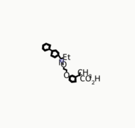 CC/C(=N\OCCOc1cccc(C(C)C(=O)O)c1)c1ccc(-c2ccccc2)cc1